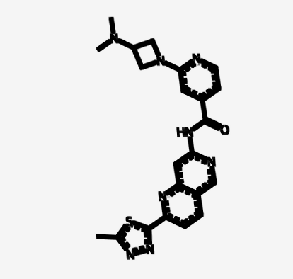 Cc1nnc(-c2ccc3cnc(NC(=O)c4ccnc(N5CC(N(C)C)C5)c4)cc3n2)s1